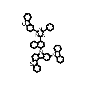 c1ccc(-c2nc(-c3ccc4oc5ccccc5c4c3)nc(-c3ccc(-n4c5cc(-n6c7ccccc7c7ccccc76)ccc5c5c6c(ccc54)sc4ccccc46)c4ccccc34)n2)cc1